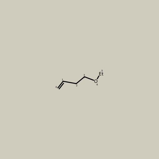 C=CC[CH]OCC